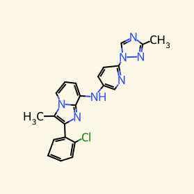 Cc1ncn(-c2ccc(Nc3cccn4c(C)c(-c5ccccc5Cl)nc34)cn2)n1